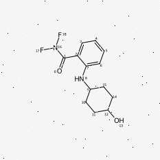 O=C(c1ccccc1NC1CCC(O)CC1)N(F)F